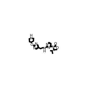 CC(C)[C@H]1COC(=O)N1c1ccnc(NCCc2cnc(OC3CCNCC3)nc2)n1